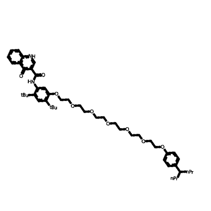 CCCC(CCC)c1ccc(OCCOCCOCCOCCOCCOCCOc2cc(NC(=O)c3c[nH]c4ccccc4c3=O)c(C(C)(C)C)cc2C(C)(C)C)cc1